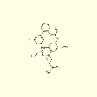 C=CC(=O)Nc1cc(Nc2ncc3cccc(-c4cccc(F)c4)c3n2)c(OC)cc1N(C)CCN(C)C